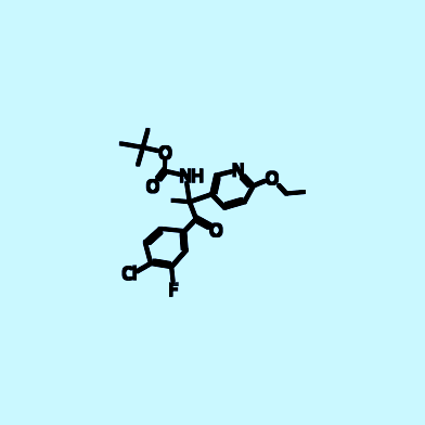 CCOc1ccc(C(C)(NC(=O)OC(C)(C)C)C(=O)c2ccc(Cl)c(F)c2)cn1